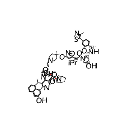 Cc1ncsc1-c1ccc([C@H](C)NC(=O)[C@@H]2C[C@@H](O)CN2C(=O)[C@H](c2cc(OCC3(C)CCN(CCOc4nc(N5CC6CCC(C5)N6C(=O)OC(C)(C)C)c5cnc6c(c5n4)C(C)c4cccc5cc(O)cc-6c45)CC3)no2)C(C)C)cc1